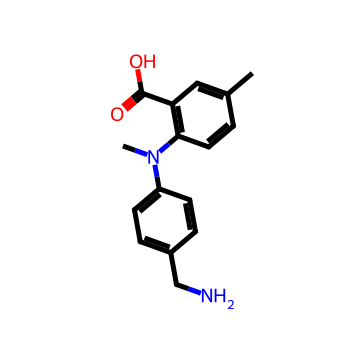 Cc1ccc(N(C)c2ccc(CN)cc2)c(C(=O)O)c1